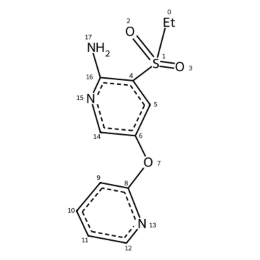 CCS(=O)(=O)c1cc(Oc2ccccn2)cnc1N